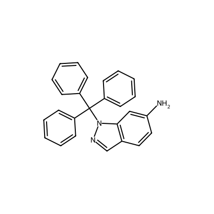 Nc1ccc2cnn(C(c3ccccc3)(c3ccccc3)c3ccccc3)c2c1